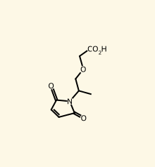 CC(COCC(=O)O)N1C(=O)C=CC1=O